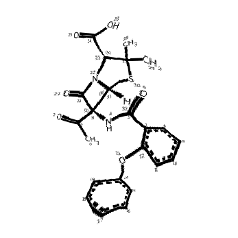 CC(=O)[C@]1(NC(=O)c2ccccc2Oc2ccccc2)C(=O)N2[C@@H](C(=O)O)C(C)(C)S[C@@H]21